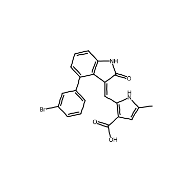 Cc1cc(C(=O)O)c(/C=C2\C(=O)Nc3cccc(-c4cccc(Br)c4)c32)[nH]1